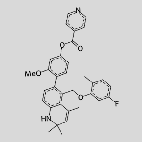 COc1cc(OC(=O)c2ccncc2)ccc1-c1ccc2c(c1COc1cc(F)ccc1C)C(C)=CC(C)(C)N2